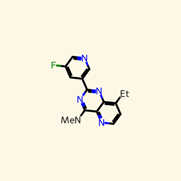 CCc1ccnc2c(NC)nc(-c3cncc(F)c3)nc12